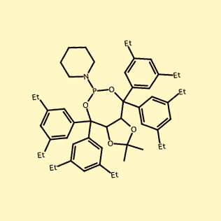 CCc1cc(CC)cc(C2(c3cc(CC)cc(CC)c3)OP(N3CCCCC3)OC(c3cc(CC)cc(CC)c3)(c3cc(CC)cc(CC)c3)C3OC(C)(C)OC32)c1